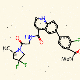 CNC(=O)c1ccc(-c2ccc3nccc(C(=O)NCC(=O)N4CC(F)(F)C[C@H]4C#N)c3c2)cc1F